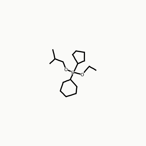 CCO[Si](OCC(C)C)(C1CCCCC1)C1CCCC1